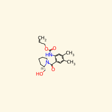 C=CCOC(=O)Nc1cc(C)c(C)cc1C(=O)N1CCCC[C@H]1CO